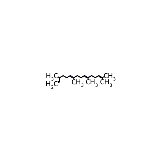 C=CC(C)CC/C=C(\C)CC/C=C(\C)CCC=C(C)C